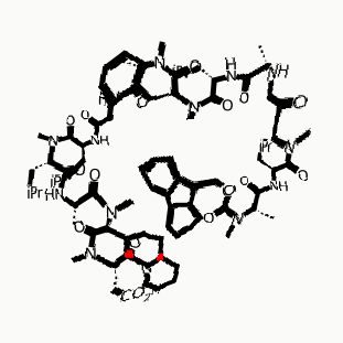 CC(C)C[C@H](NC(=O)[C@H](C)N(C)C(=O)OCC1c2ccccc2-c2ccccc21)C(=O)N(C)CC(=O)CN[C@@H](C)C(=O)N[C@@H](CC(C)C)C(=O)N(C)[C@@H](Cc1ccccc1)C(=O)N(C)[C@@H](C)C(=O)NCC(=O)N[C@@H](CC(C)C)C(=O)N(C)[C@@H](CC(C)C)C(=O)N[C@@H](C)C(=O)N(C)[C@H](C(=O)N(C)[C@@H](CC(=O)O)C(=O)N1CCCCC1)C1CCCCC1